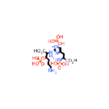 NCCCCC(N)C(=O)O.O=C(O)C(Cc1c[nH]cn1)NP(=O)(O)O.O=P(O)(O)O.OP(O)O